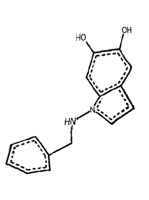 Oc1cc2ccn(NCc3ccccc3)c2cc1O